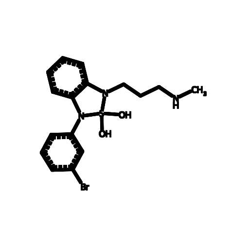 CNCCCN1c2ccccc2N(c2cccc(Br)c2)S1(O)O